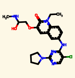 CCn1c(=O)c(OCC(O)NC)cc2cc(Nc3nc(N4CCCC4)ncc3Cl)ccc21